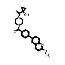 COc1ccc2cc(-c3ccc(C(=O)N4CCN(C(=O)C5(O)CC5)CC4)cc3)ccc2n1